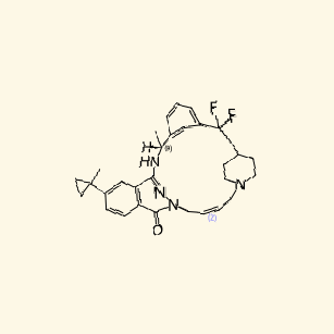 C[C@H]1Nc2nn(c(=O)c3ccc(C4(C)CC4)cc23)C/C=C\CN2CCC(CC2)C(F)(F)c2cccc1c2